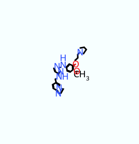 COc1ccc(Nc2nccc(NCC3=CN4CCN=C4C=C3)n2)cc1OCCCN1CCCC1